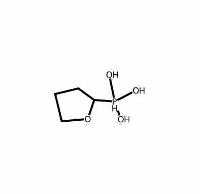 O[PH](O)(O)C1CCCO1